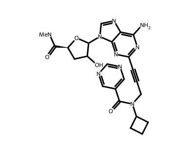 CNC(=O)[C@@H]1CC(O)C(n2cnc3c(N)nc(C#CCN(C(=O)c4cncnc4)C4CCC4)nc32)O1